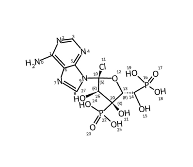 Nc1ncnc2c1ncn2[C@]1(Cl)O[C@H](C(O)P(=O)(O)O)[C@](O)(P(=O)(O)O)[C@H]1O